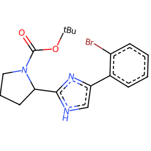 CC(C)(C)OC(=O)N1CCCC1c1nc(-c2ccccc2Br)c[nH]1